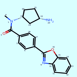 CN(C(=O)c1ccc(-c2nc3ccccc3o2)cc1)[C@@H]1CC[C@H](N)C1